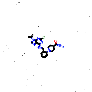 CC(C)n1cnc2c(NCc3ccccc3N3CCC(C(N)=O)CC3)nc(Cl)nc21